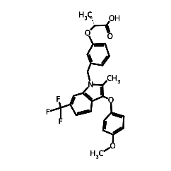 COc1ccc(Oc2c(C)n(Cc3cccc(O[C@H](C)C(=O)O)c3)c3cc(C(F)(F)F)ccc23)cc1